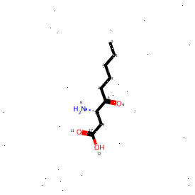 CCCCCC(=O)[C@@H](N)CC(=O)O